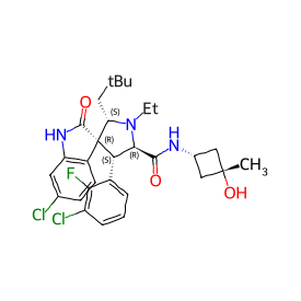 CCN1[C@@H](CC(C)(C)C)[C@@]2(C(=O)Nc3cc(Cl)ccc32)[C@@H](c2cccc(Cl)c2F)[C@@H]1C(=O)N[C@H]1C[C@@](C)(O)C1